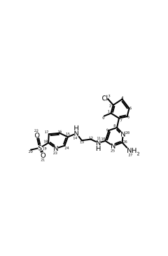 Cc1c(Cl)cccc1-c1cc(NCCNc2ccc(S(C)(=O)=O)nc2)nc(N)n1